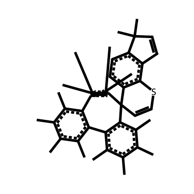 Cc1c(C)c(C)c2c(c1C)-c1c(C)c(C)c(C)c(C)c1C1(C=CSc3c1ccc1c3C=CC1(C)C)c1c(C)c(C)c(C)c(C)c1-2